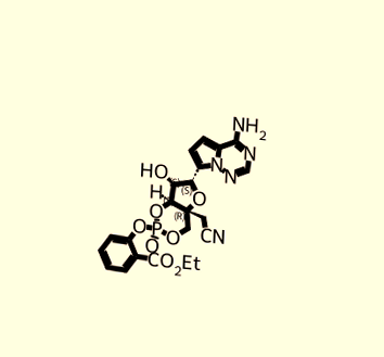 CCOC(=O)c1ccccc1OP1(=O)OC[C@@]2(CC#N)O[C@@H](c3ccc4c(N)ncnn34)[C@H](O)[C@@H]2O1